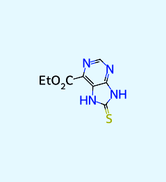 CCOC(=O)c1ncnc2[nH]c(=S)[nH]c12